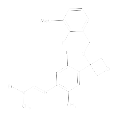 CCN(C)C=Nc1cc(F)c(C2(OCc3cccc(OC)c3F)COC2)cc1C